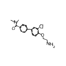 CN(C)C(=O)c1ccc(-c2ccc(OCCN)c(Cl)c2)cc1